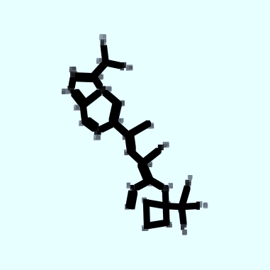 C=N/C(OC1(C(F)(F)F)CCC1)=C(F)\C=C(/C)c1cn2c(C(F)F)nnc2cn1